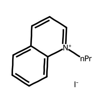 CCC[n+]1cccc2ccccc21.[I-]